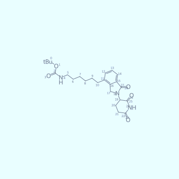 CC(C)(C)OC(=O)NCCCCCCc1cccc2c1CN(C1CCC(=O)NC1=O)C2=O